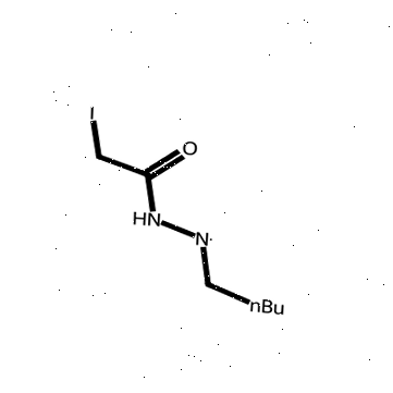 CCCCC[N]NC(=O)CI